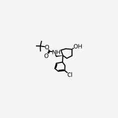 CC(C)(C)OC(=O)NC[C@]1(C2C=CC=C(Cl)C2)CC[C@H](O)CC1